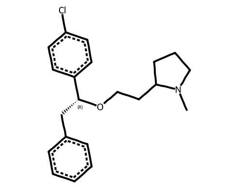 CN1CCCC1CCO[C@H](Cc1ccccc1)c1ccc(Cl)cc1